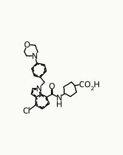 O=C(NC1CCC(C(=O)O)CC1)c1ccc(Cl)c2ccn(Cc3ccc(N4CCOCC4)cc3)c12